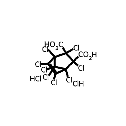 Cl.Cl.O=C(O)C1(Cl)C2(Cl)C(Cl)=C(Cl)C(Cl)(C2(Cl)Cl)C1(Cl)C(=O)O